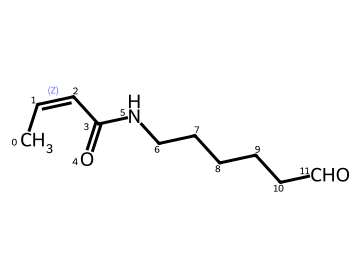 C/C=C\C(=O)NCCCCCC=O